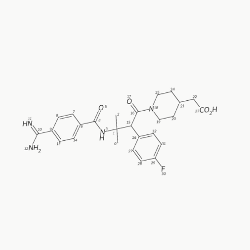 CC(C)(NC(=O)c1ccc(C(=N)N)cc1)C(C(=O)N1CCC(CC(=O)O)CC1)c1ccc(F)cc1